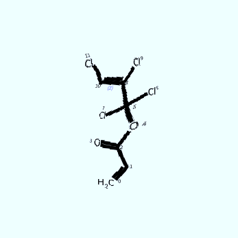 C=CC(=O)OC(Cl)(Cl)/C(Cl)=C/Cl